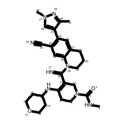 CNC(=O)N1CCC(NC2CCOCC2)=C(C(=N)N2CCCc3cc(-c4cn(C)nc4C)c(C#N)cc32)C1